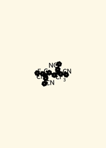 N#Cc1ccccc1-c1ccc2c(c1)c1cc(-c3ccccc3C#N)ccc1n2-c1cc(-c2ccc(C(F)(F)F)c(-n3c4ccc(-c5ccccc5C#N)cc4c4cc(-c5ccccc5C#N)ccc43)c2)ccc1C(F)(F)F